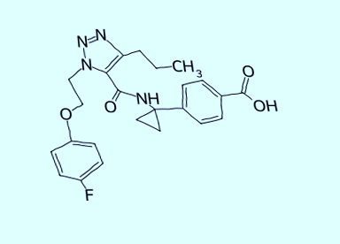 CCCc1nnn(CCOc2ccc(F)cc2)c1C(=O)NC1(c2ccc(C(=O)O)cc2)CC1